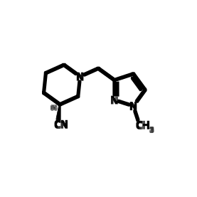 Cn1ccc(CN2CCC[C@H](C#N)C2)n1